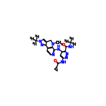 [2H]C([2H])([2H])NC(=O)c1nnc(NC(=O)C2CC2)cc1Nc1nccc2c1N(C)Cc1cn(C([2H])([2H])[2H])nc1-2